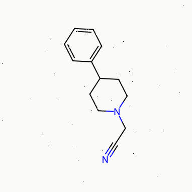 N#CCN1CCC(c2ccccc2)CC1